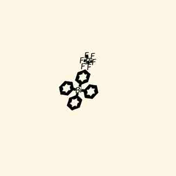 F[P-](F)(F)(F)(F)F.c1cc[c]([Bi]([c]2ccccc2)([c]2ccccc2)[c]2ccccc2)cc1